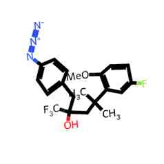 COc1ccc(F)cc1C(C)(C)CC(O)(Cc1ccc(N=[N+]=[N-])cc1)C(F)(F)F